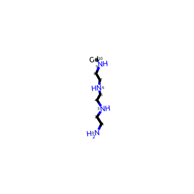 NCCNCCNCC[NH][Gd]